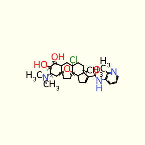 Cc1ncccc1NC(=O)C1=CCC2[C@@]34CC[C@]5(C[C@H](N(C)C)[C@@H](O)[C@H](O)C5CC3(Cl)CC[C@]12C)O4